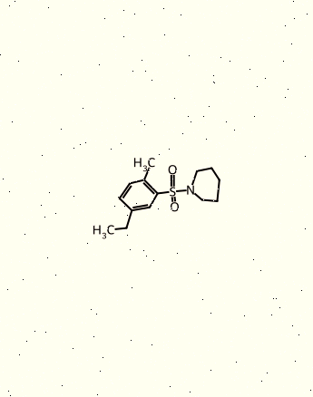 CCc1ccc(C)c(S(=O)(=O)N2CCCCC2)c1